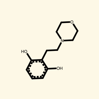 Oc1cccc(O)c1CCN1CCOCC1